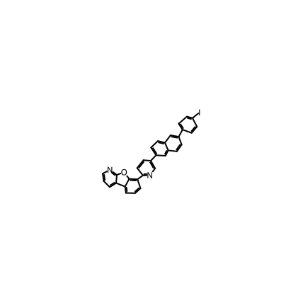 Ic1ccc(-c2ccc3cc(-c4ccc(-c5cccc6c5oc5ncccc56)nc4)ccc3c2)cc1